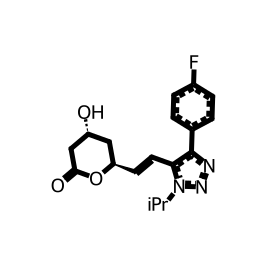 CC(C)n1nnc(-c2ccc(F)cc2)c1C=C[C@@H]1C[C@@H](O)CC(=O)O1